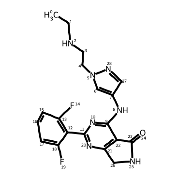 CCNCCn1cc(Nc2nc(-c3c(F)cccc3F)nc3c2C(=O)NC3)cn1